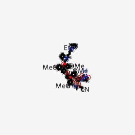 CC\[N+](=C(C)/C=C/C=C(\C)N(CCCOC(c1ccc(OC)cc1)(c1ccc(OC)cc1)c1cccc(Oc2cccc(C(OC[C@H]3O[C@@H](n4cc(C)c(=O)[nH]c4=O)C[C@H]3OP(OCCC#N)N(C(C)C)C(C)C)(c3ccc(OC)cc3)c3ccc(OC)cc3)c2)c1)c1ccccc1C)c1ccccc1C